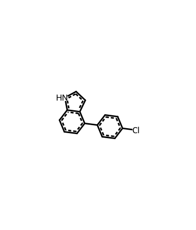 Clc1ccc(-c2cccc3[nH]ccc23)cc1